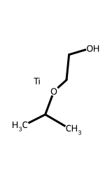 CC(C)OCCO.[Ti]